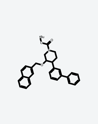 CC(C)(C)OC(=O)N1CCC(c2cccc(-c3ccccc3)c2)C(OCc2ccc3ccccc3c2)C1